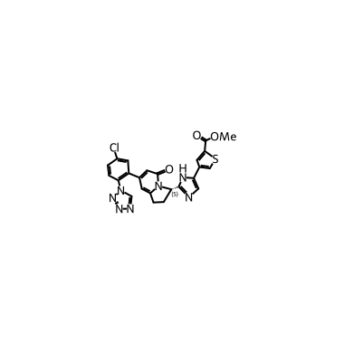 COC(=O)c1cc(-c2cnc([C@@H]3CCc4cc(-c5cc(Cl)ccc5-n5cnnn5)cc(=O)n43)[nH]2)cs1